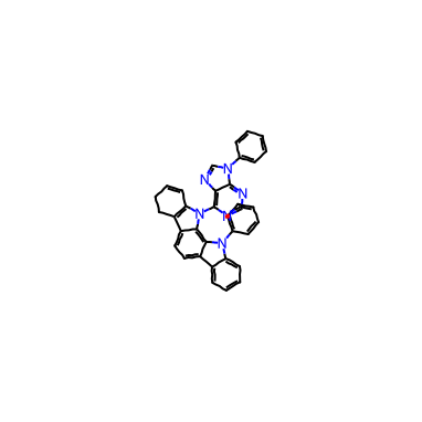 C1=Cc2c(c3ccc4c5ccccc5n(-c5ccccc5)c4c3n2-c2ncnc3c2ncn3-c2ccccc2)CC1